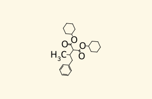 CC(Cc1ccccc1)C(C(=O)OC1CCCCC1)C(=O)OC1CCCCC1